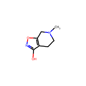 CN1CCc2c(O)noc2C1